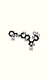 Cc1cccc(-c2n[nH]cc2-c2ccc3ncc(NCC4CCCCN4)cc3n2)n1